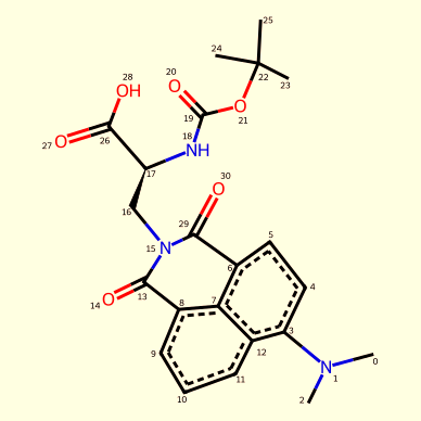 CN(C)c1ccc2c3c(cccc13)C(=O)N(C[C@H](NC(=O)OC(C)(C)C)C(=O)O)C2=O